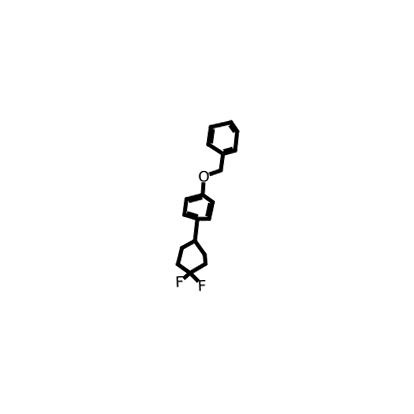 FC1(F)CCC(c2ccc(OCc3ccccc3)cc2)CC1